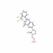 O=C1N(CCO)CCN1c1ccc2cc(-c3ccccc3C(F)(F)F)[nH]c(=O)c2c1